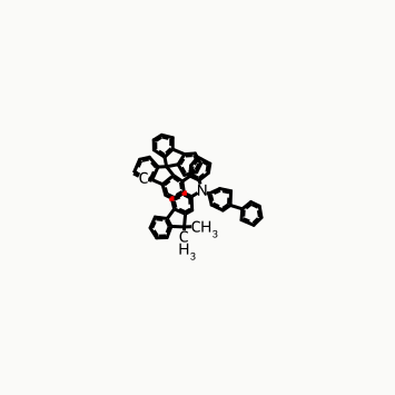 CC1(C)c2ccccc2-c2ccc(N(c3ccc(-c4ccccc4)cc3)c3ccccc3-c3cccc4c3C3(c5ccccc5-c5ccccc53)c3ccccc3-4)cc21